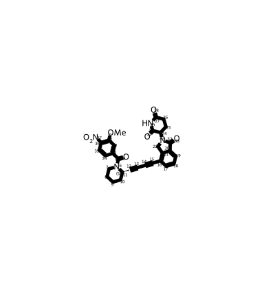 COc1cc(C(=O)N2CCCC[C@H]2C#CC#Cc2cccc3c2CN(C2CCC(=O)NC2=O)C3=O)ccc1[N+](=O)[O-]